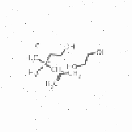 C=CC.C[N+](C)(C)CCO.OCCO.[Cl-]